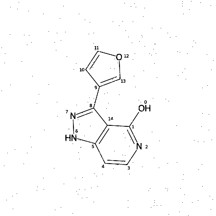 Oc1nccc2[nH]nc(-c3ccoc3)c12